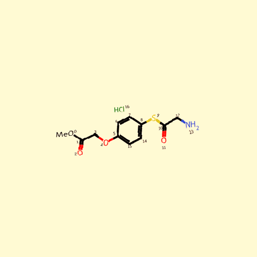 COC(=O)COc1ccc(SC(=O)CN)cc1.Cl